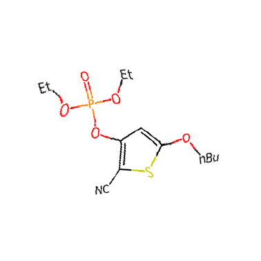 CCCCOc1cc(OP(=O)(OCC)OCC)c(C#N)s1